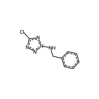 Clc1nnn(NCc2ccccc2)n1